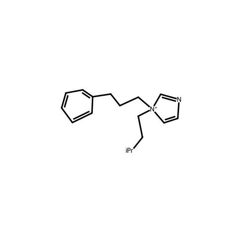 CC(C)CC[N+]1(CCCc2ccccc2)C=CN=C1